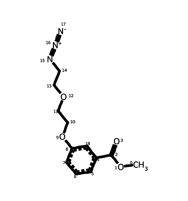 COC(=O)c1cccc(OCCOCCN=[N+]=[N-])c1